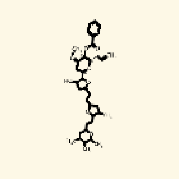 C=CC[C@@H]1O[C@@H](C2OC(CCC3CC(=C)C(CCC4CC(C)C(=C)C(C)O4)O3)CC2O)CC(OC)[C@H]1OC(=O)c1ccccc1